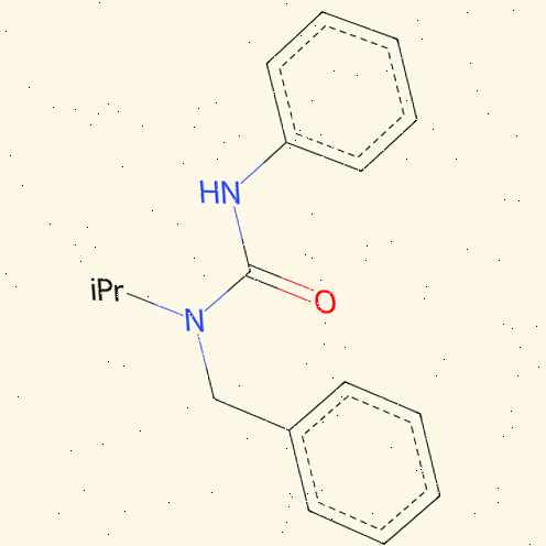 CC(C)N(Cc1ccccc1)C(=O)Nc1ccccc1